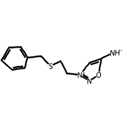 [NH-]c1c[n+](CCSCc2ccccc2)no1